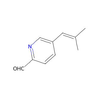 CC(C)=Cc1ccc(C=O)nc1